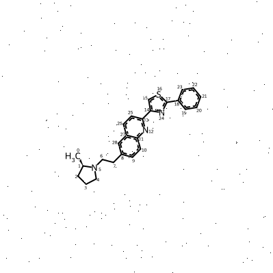 C[C@@H]1CCCN1CCc1ccc2nc(-c3csc(-c4ccccc4)n3)ccc2c1